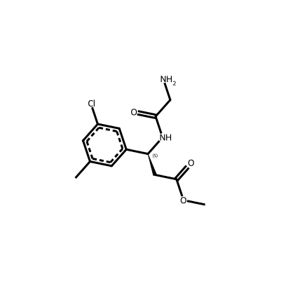 COC(=O)C[C@H](NC(=O)CN)c1cc(C)cc(Cl)c1